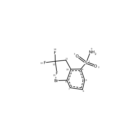 NS(=O)(=O)c1cccc(Br)c1CC(F)(F)F